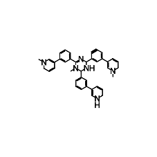 CN1C=C(c2cc#cc(C3N=C(c4cccc(C5=CN(C)CC=C5)c4)N(C)C(c4cccc(C5=CNCC=C5)c4)N3)c2)C=CC1